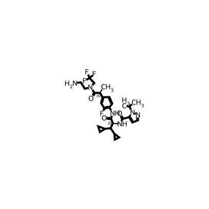 CC(C)n1nccc1C(=O)N[C@H](C(=O)Nc1ccc([C@H](C)C(=O)N(CCN)CC(F)(F)F)cc1F)C(C1CC1)C1CC1